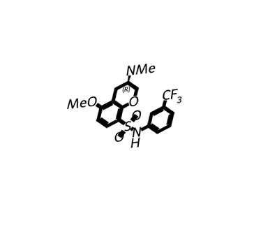 CN[C@H]1COc2c(S(=O)(=O)Nc3cccc(C(F)(F)F)c3)ccc(OC)c2C1